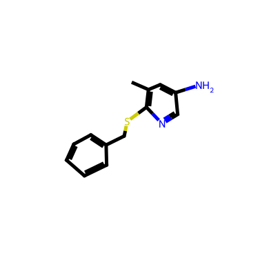 Cc1cc(N)cnc1SCc1ccccc1